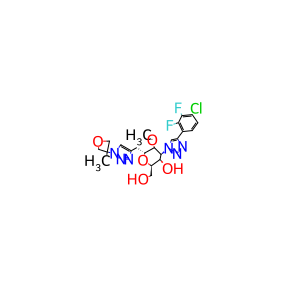 CO[C@@H]1[C@@H](n2cc(-c3ccc(Cl)c(F)c3F)nn2)[C@@H](O)[C@@H](CO)O[C@@H]1Cc1cn(C2(C)COC2)nn1